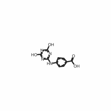 O=C(O)c1ccc(Nc2nc(O)nc(O)n2)cc1